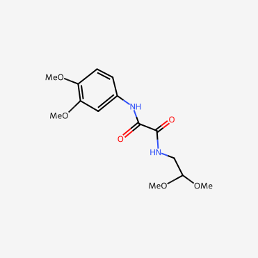 COc1ccc(NC(=O)C(=O)NCC(OC)OC)cc1OC